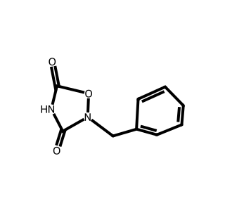 O=c1[nH]c(=O)n(Cc2ccccc2)o1